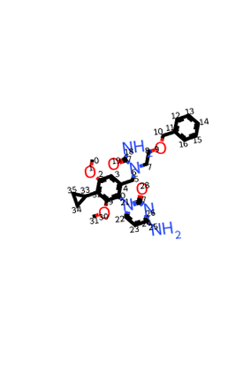 COc1cc(CN(CCOCc2ccccc2)C(N)=O)c(-n2ccc(N)nc2=O)c(OC)c1C1CC1